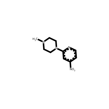 CN1CCN(c2cc([N+](=O)[O-])ccn2)CC1